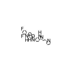 O=C(CC(=O)Nc1ccc(F)cc1F)Nc1ccc2c(C=Cc3ccccn3)n[nH]c2c1